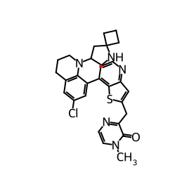 Cn1ccnc(Cc2cc3nccc(-c4cc(Cl)cc5c4N(C4CNC6(CCC6)C4)CCC5)c3s2)c1=O